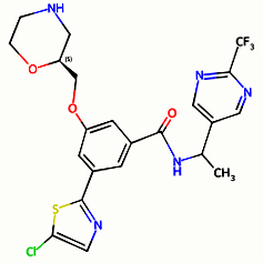 CC(NC(=O)c1cc(OC[C@@H]2CNCCO2)cc(-c2ncc(Cl)s2)c1)c1cnc(C(F)(F)F)nc1